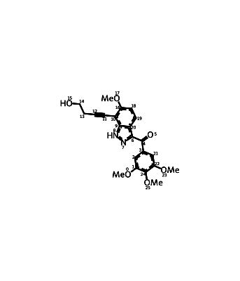 COc1cc(C(=O)c2n[nH]c3c(C#CCCO)c(OC)ccc23)cc(OC)c1OC